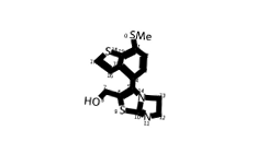 CSc1ccc(C2=C(CO)SC3=NCCN32)c2ccsc12